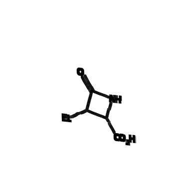 CCC1C(=O)NC1C(=O)O